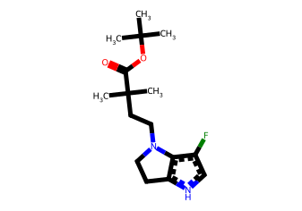 CC(C)(C)OC(=O)C(C)(C)CCN1CCc2[nH]cc(F)c21